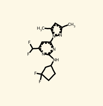 Cc1cc(C)n(-c2cc(C(F)F)nc(NC3CCC(F)(F)C3)n2)n1